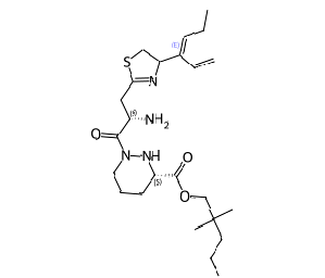 C=C/C(=C\CC)C1CSC(C[C@H](N)C(=O)N2CCC[C@@H](C(=O)OCC(C)(C)CCC)N2)=N1